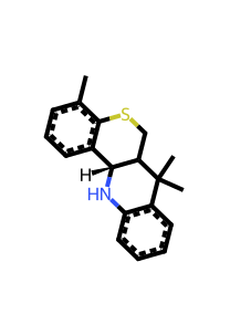 Cc1cccc2c1SCC1[C@@H]2Nc2ccccc2C1(C)C